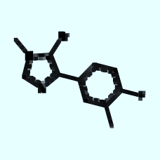 Cc1cc(-c2ncn(C)c2Br)ccc1F